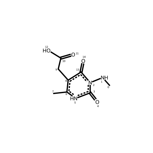 CNn1c(=O)[nH]c(C)c(CC(=O)O)c1=O